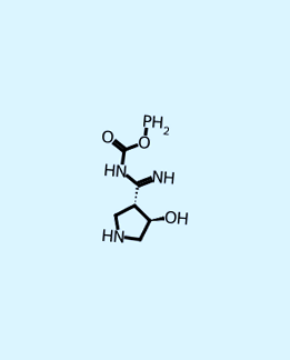 N=C(NC(=O)OP)[C@H]1CNC[C@@H]1O